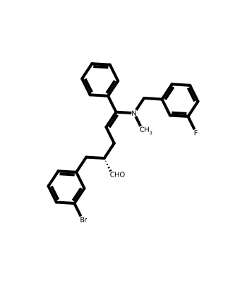 CN(Cc1cccc(F)c1)/C(=C\C[C@H](C=O)Cc1cccc(Br)c1)c1ccccc1